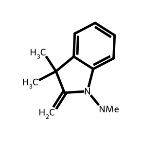 C=C1N(NC)c2ccccc2C1(C)C